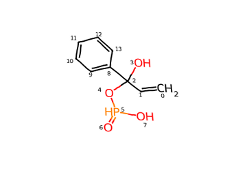 C=CC(O)(O[PH](=O)O)c1ccccc1